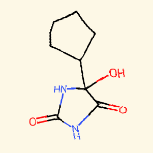 O=C1NC(=O)C(O)(C2CCCC2)N1